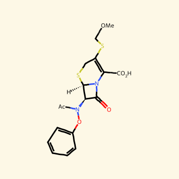 COCSC1=C(C(=O)O)N2C(=O)[C@@H](N(Oc3ccccc3)C(C)=O)[C@H]2SC1